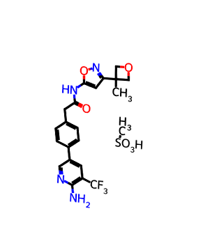 CC1(c2cc(NC(=O)Cc3ccc(-c4cnc(N)c(C(F)(F)F)c4)cc3)on2)COC1.CS(=O)(=O)O